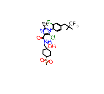 CCc1nc(C(=O)NC[C@]2(O)CC[C@@H](S(C)(=O)=O)CC2)c(Cl)n1-c1ccc(CC(C)(C)C(F)(F)F)cc1F